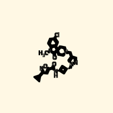 CN1C(=O)C2(CCN(Cc3cnn(C[C@H]4C[C@@H](NC(=O)c5cc(C6CC6)no5)C4)c3)CC2)c2cc(Cl)ccc21